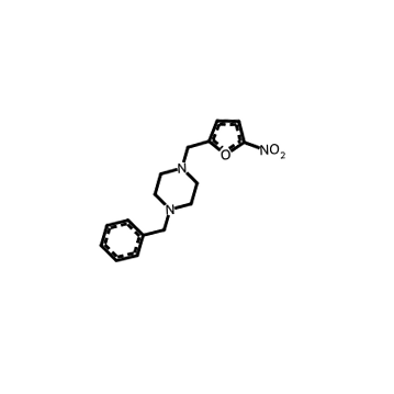 O=[N+]([O-])c1ccc(CN2CCN(Cc3ccccc3)CC2)o1